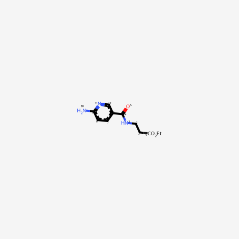 CCOC(=O)CCNC(=O)c1ccc(N)nc1